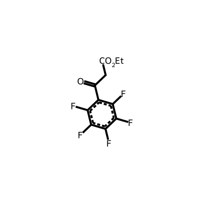 CCOC(=O)CC(=O)c1c(F)c(F)c(F)c(F)c1F